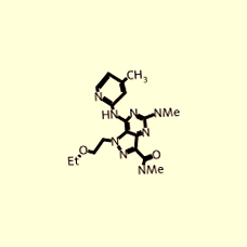 CCOCCn1nc(C(=O)NC)c2nc(NC)nc(Nc3cc(C)ccn3)c21